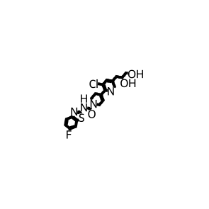 O=C(Nc1nc2ccc(F)cc2s1)N1CC=C(c2ncc(C[C@H](O)CO)cc2Cl)CC1